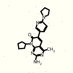 Cc1nc(N)nc2c1cc(-c1ccc(N3CCCC3)nc1)c(=O)n2C1CCCC1